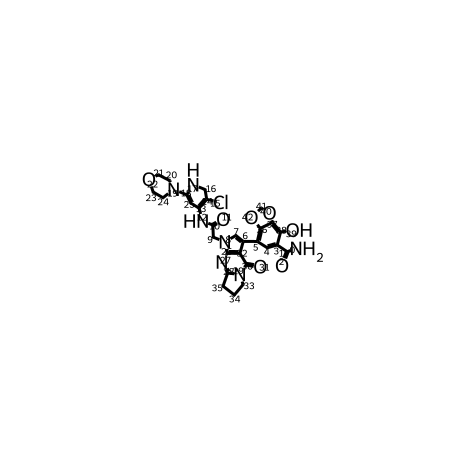 NC(=O)c1cc(-c2cn(CC(=O)NC3=C(Cl)CNC(N4CCOCC4)=C3)c3nc4n(c(=O)c23)CCC4)c2c(c1O)OCO2